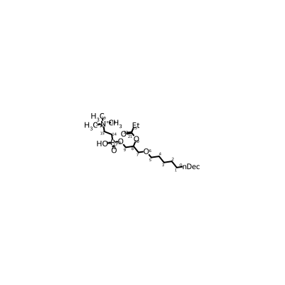 CCCCCCCCCCCCCCCOCC(COP(=O)(O)CC[N+](C)(C)C)OC(=O)CC